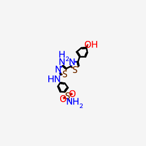 Nc1nc(Nc2ccc(S(N)(=O)=O)cc2)sc1-c1nc(-c2ccc(O)cc2)cs1